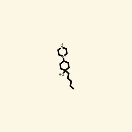 CCCCCC1(O)CCC(N2CCNCC2)CC1